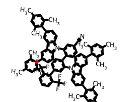 Cc1cc(C)c(-c2ccc3c(c2)c2cc(-c4c(C)cc(C)cc4C)ccc2n3-c2cc(C#N)ccc2-c2ccc(-c3c(C(F)(F)F)cccc3C(F)(F)F)cc2-n2c3ccc(-c4c(C)cc(C)cc4C)cc3c3cc(-c4c(C)cc(C)cc4C)ccc32)c(C)c1